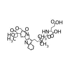 CCC1(O)C(=O)OCc2c1cc1n(c2=O)Cc2c-1nc1ccccc1c2CC[Si](C)(C)CCC(=O)NC(CCC(=O)O)C(=O)O